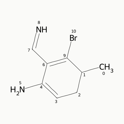 CC1CC=C(N)C(C=N)=C1Br